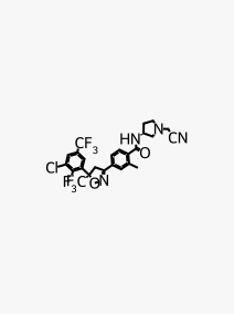 Cc1cc(C2=NO[C@@](c3cc(C(F)(F)F)cc(Cl)c3F)(C(F)(F)F)C2)ccc1C(=O)N[C@@H]1CCN(CC#N)C1